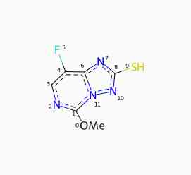 COc1ncc(F)c2nc(S)nn12